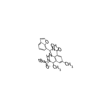 Cc1cc([C@@H](C)N[S+]([O-])C(C)(C)C)c2nc(-c3cccc4ccoc34)n(C)c(=O)c2c1